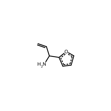 C=CC(N)c1ccco1